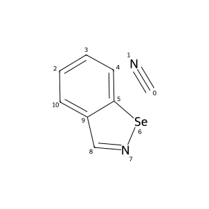 C#N.c1ccc2[se]ncc2c1